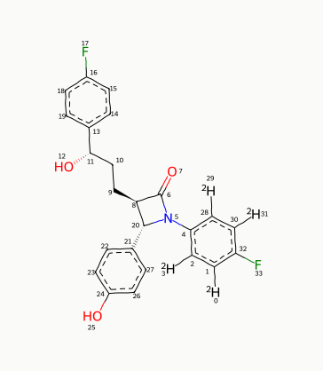 [2H]c1c([2H])c(N2C(=O)[C@H](CC[C@H](O)c3ccc(F)cc3)[C@H]2c2ccc(O)cc2)c([2H])c([2H])c1F